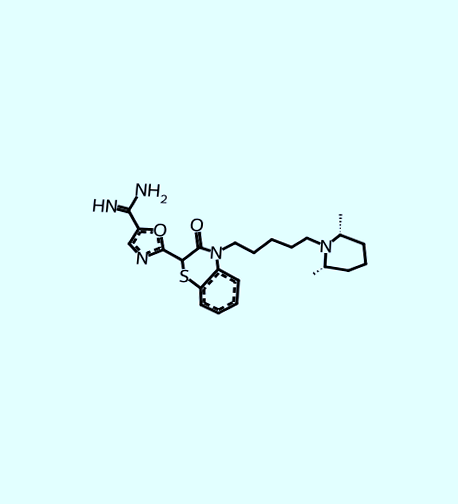 C[C@@H]1CCC[C@H](C)N1CCCCCN1C(=O)C(c2ncc(C(=N)N)o2)Sc2ccccc21